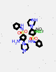 CN1CCCN(c2ccc(S(=O)(=O)Nc3ccccc3)cc2N)CC1.Cl.Cl.O=[N+]([O-])c1cc(S(=O)(=O)Nc2ccccc2)ccc1N1CCCNCC1